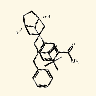 CC(C)(C)C(=O)N(CCN1[C@@H]2CC[C@H]1C[C@@H](c1cccc(C(N)=O)c1)C2)Cc1ccccc1